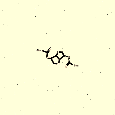 CCCCCCCCCC(=O)OC1COC2C(OC(=O)CCCCCCCCC)COC12